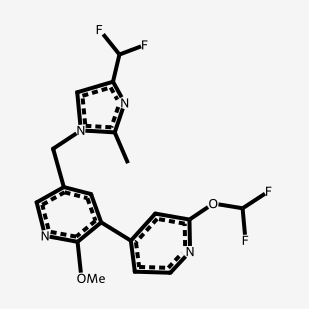 COc1ncc(Cn2cc(C(F)F)nc2C)cc1-c1ccnc(OC(F)F)c1